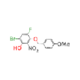 COc1ccc(COc2c(F)cc(Br)c(O)c2[N+](=O)[O-])cc1